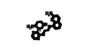 CN1CCNC[C@@H]1c1nccnc1OCCOc1cccc2ccc(N)nc12